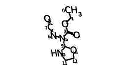 CCOC(=O)N(N=C=O)C1NCCO1